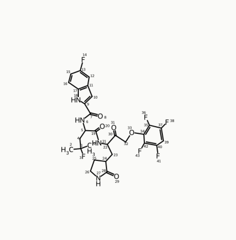 CC(C)(F)CC(NC(=O)c1cc2cc(F)ccc2[nH]1)C(=O)NC(CC1CCNC1=O)C(=O)COc1c(F)c(F)cc(F)c1F